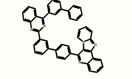 c1ccc(-c2cccc(-c3nc(-c4cccc(-c5ccc(-c6nc7ccccc7c7nc8ccccn8c67)cc5)c4)nc4ccccc34)c2)cc1